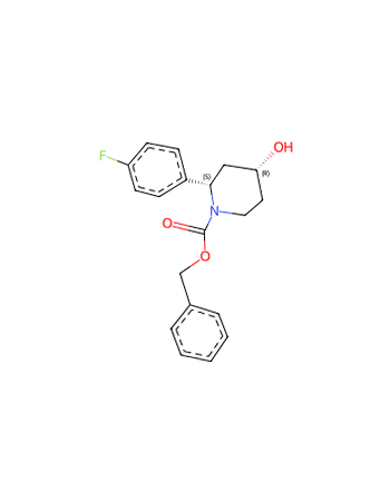 O=C(OCc1ccccc1)N1CC[C@@H](O)C[C@H]1c1ccc(F)cc1